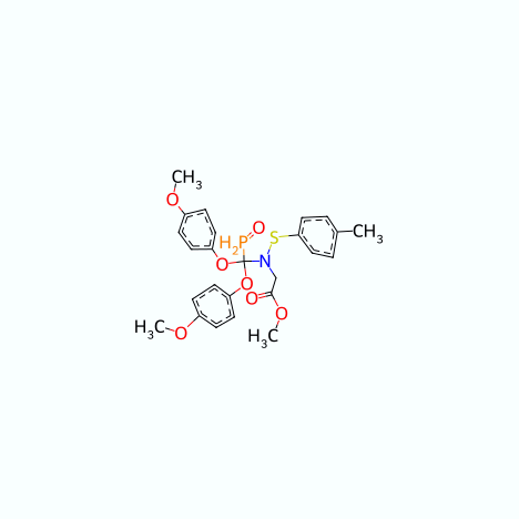 COC(=O)CN(Sc1ccc(C)cc1)C(Oc1ccc(OC)cc1)(Oc1ccc(OC)cc1)[PH2]=O